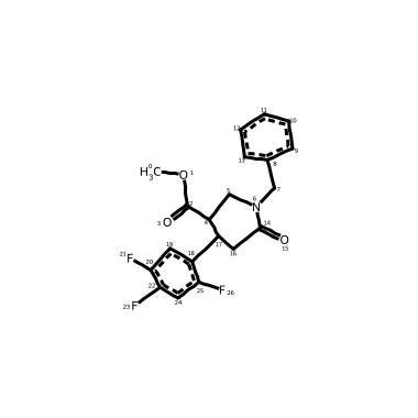 COC(=O)C1CN(Cc2ccccc2)C(=O)CC1c1cc(F)c(F)cc1F